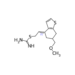 COCC1C/C(=C\CSC(=N)N)c2ccsc2C1